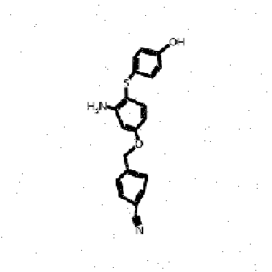 N#Cc1ccc(COc2ccc(Sc3ccc(O)cc3)c(N)c2)cc1